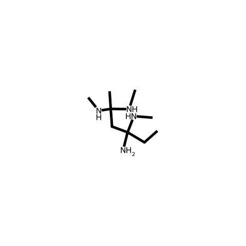 CCC(N)(CC(C)(NC)NC)NC